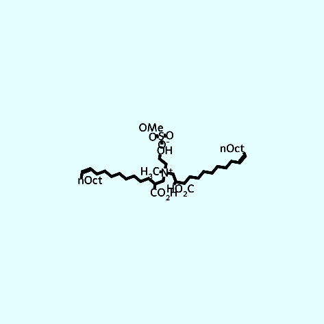 CCCCCCCC/C=C\CCCCCCCCC(C[N+](C)(CCO)CC(CCCCCCCC/C=C\CCCCCCCC)C(=O)O)C(=O)O.COS(=O)(=O)[O-]